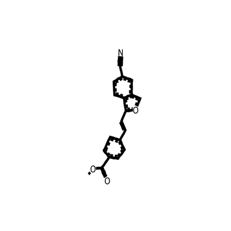 COC(=O)c1ccc(C=Cc2occ3cc(C#N)ccc23)cc1